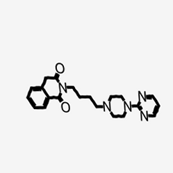 O=C1Cc2ccccc2C(=O)N1CCCCN1CCN(c2ncccn2)CC1